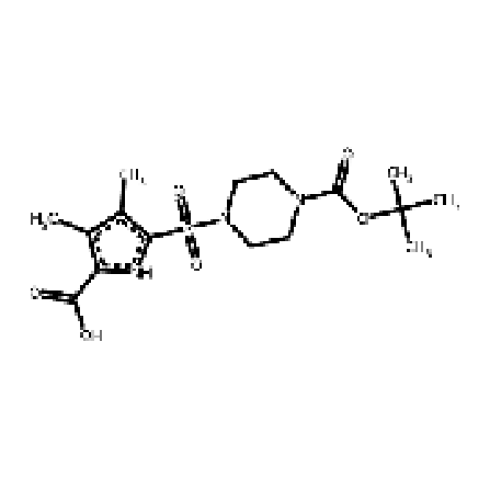 Cc1c(C(=O)O)[nH]c(S(=O)(=O)N2CCN(C(=O)OC(C)(C)C)CC2)c1C